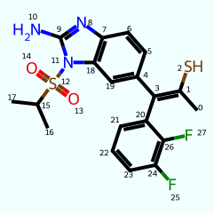 CC(S)=C(c1ccc2nc(N)n(S(=O)(=O)C(C)C)c2c1)c1cccc(F)c1F